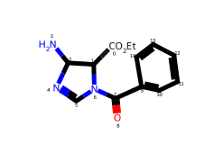 CCOC(=O)C1C(N)N=CN1C(=O)c1ccccc1